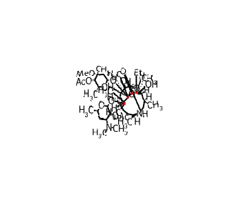 C=C1CO[C@@H]2[C@@H](C)CN[C@H](C)C[C@@](C)(OC1)[C@H](O[C@@H]1O[C@H](C)C[C@H](N(C)C)[C@H]1OC(C)=O)[C@@H](C)[C@H](O[C@H]1C[C@@](C)(OC)[C@@H](OC(C)=O)[C@H](C)O1)[C@@H](C)C(=O)O[C@H](CC)[C@@]2(C)O